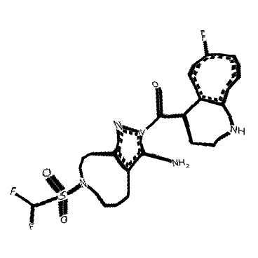 Nc1c2c(nn1C(=O)C1CCNc3ccc(F)cc31)CN(S(=O)(=O)C(F)F)CC2